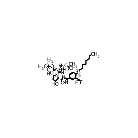 CCCCCCCCOc1ccc(-c2noc([C@@H]3[C@H](O)CCN3/C(=N/C(=O)OC(C)(C)C)NC(=O)OC(C)(C)C)n2)cc1C(F)(F)F